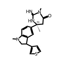 CN1C(=N)N[C@](C)(c2ccc3c(c2)C(c2ccsc2)CN3C)CC1=O